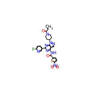 C=CC(=O)N1CCC(n2ncc3c(NC(=O)c4ccc([N+](=O)[O-])s4)nc(-c4ccc(F)nc4)nc32)CC1